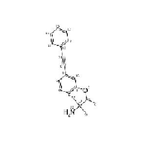 CC(Oc1cccc(C#Cc2ccccc2)c1)C(C)(C)N